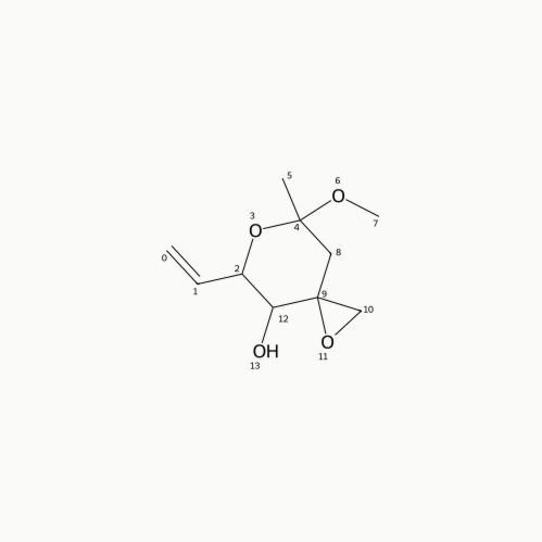 C=CC1OC(C)(OC)CC2(CO2)C1O